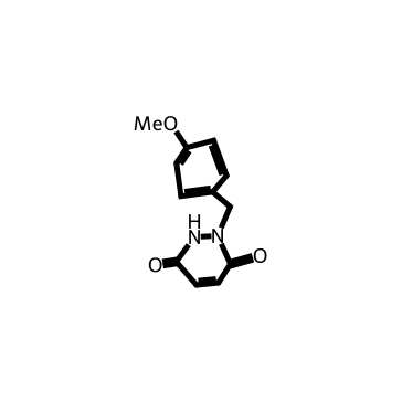 COc1ccc(Cn2[nH]c(=O)ccc2=O)cc1